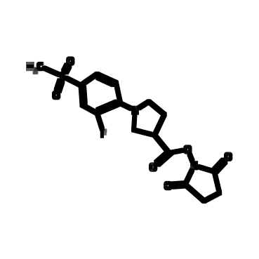 CS(=O)(=O)c1ccc(N2CCC(C(=O)ON3C(=O)CCC3=O)C2)c(F)c1